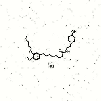 COCCCOc1cc(CCCCCC[C@@H](C)C(=O)NCCN2CCC(O)CC2)ccc1OC.Cl.Cl